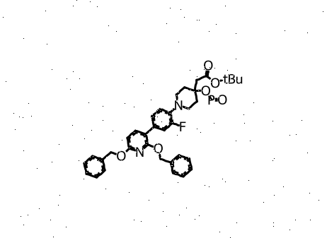 CC(C)(C)OC(=O)CC1(OP=O)CCN(c2ccc(-c3ccc(OCc4ccccc4)nc3OCc3ccccc3)cc2F)CC1